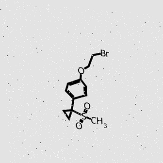 CS(=O)(=O)C1(c2ccc(OCCBr)cc2)CC1